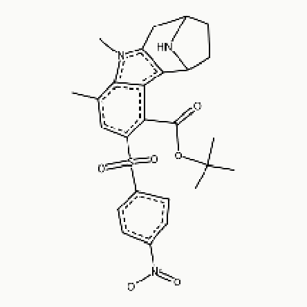 Cc1cc(S(=O)(=O)c2ccc([N+](=O)[O-])cc2)c(C(=O)OC(C)(C)C)c2c3c(n(C)c12)CC1CCC3N1